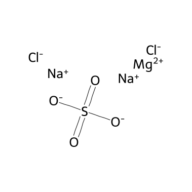 O=S(=O)([O-])[O-].[Cl-].[Cl-].[Mg+2].[Na+].[Na+]